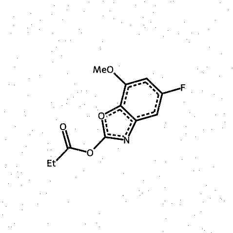 CCC(=O)Oc1nc2cc(F)cc(OC)c2o1